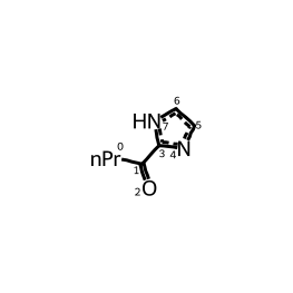 [CH2]CCC(=O)c1ncc[nH]1